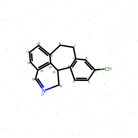 Clc1ccc2c(c1)CCc1cccc3c1C2CN=C3